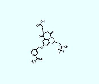 CC(C)CN1C(=O)CN(CCC(=O)O)C(=O)c2cc(OCc3cccc(C(=N)N)c3)ccc21.O=C(O)C(F)(F)F